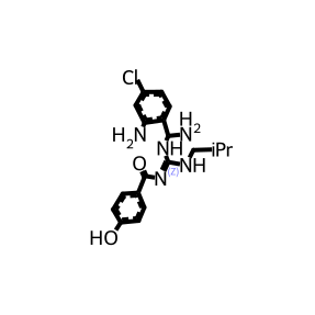 CC(C)CN/C(=N/C(=O)c1ccc(O)cc1)NC(N)c1ccc(Cl)cc1N